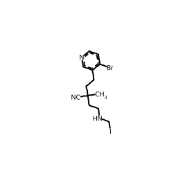 CC(C#N)(CCNCI)CCc1cnccc1Br